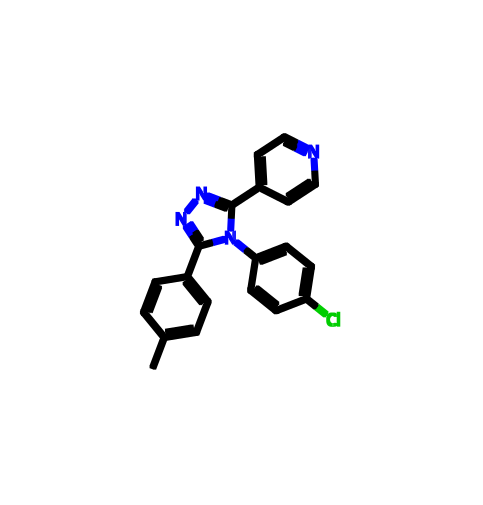 Cc1ccc(-c2nnc(-c3ccncc3)n2-c2ccc(Cl)cc2)cc1